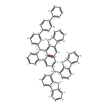 c1ccc(-c2ccc(-c3cccc(N(c4ccccc4-c4cccc(N(c5cccc6c5oc5ccccc56)c5cccc6c5sc5ccccc56)c4)c4cccc5c4oc4ccccc45)c3)cc2)cc1